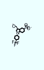 COCc1cn(-c2ccc(C(F)(F)F)cc2)c2ccc([N+](=O)[O-])cc12